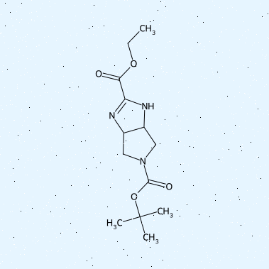 CCOC(=O)C1=NC2CN(C(=O)OC(C)(C)C)CC2N1